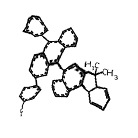 CC1(C)c2cc(-c3c4ccccc4c(-c4ccccc4)c4ccc(-c5ccc(F)cc5)cc34)c3ccccc3c2C2C=CC=CC21